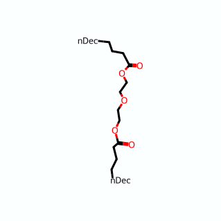 CCCCCCCCCCCCCC(=O)OCCOCCOC(=O)CCCCCCCCCCCCC